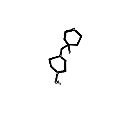 CN1CCN(CC2(F)CCOCC2)CC1